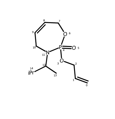 C=CCOP1(=O)OCC=CCN1C(C)C(C)C